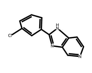 Clc1cccc(-c2nc3cnccc3[nH]2)c1